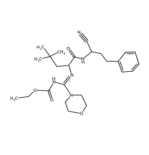 CCOC(=O)N/C(=N\C(CC(C)(C)C)C(=O)NC(C#N)CCc1ccccc1)N1CCOCC1